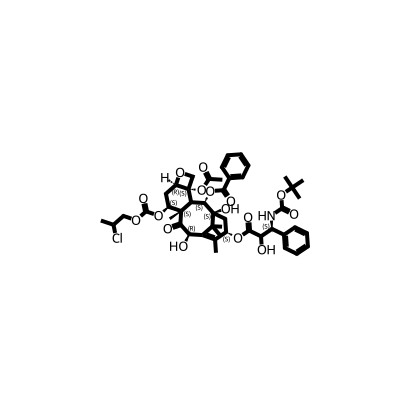 CC(=O)O[C@@]12CO[C@@H]1C[C@H](OC(=O)OCC(C)Cl)[C@@]1(C)C(=O)[C@H](O)C3=C(C)[C@@H](OC(=O)C(O)[C@@H](NC(=O)OC(C)(C)C)c4ccccc4)C[C@@](O)([C@@H](OC(=O)c4ccccc4)C12)C3(C)C